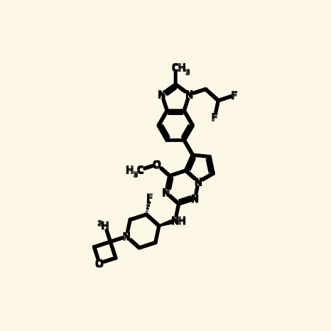 [2H]C1(N2CC[C@H](Nc3nc(OC)c4c(-c5ccc6nc(C)n(CC(F)F)c6c5)ccn4n3)[C@@H](F)C2)COC1